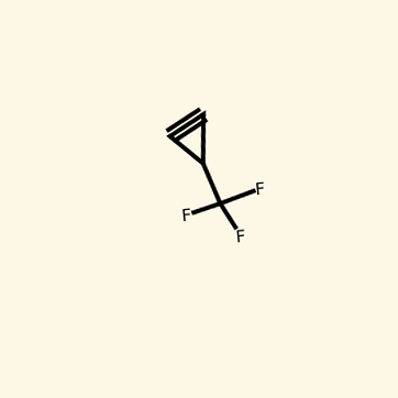 FC(F)(F)C1C#C1